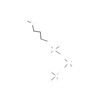 CCCCNC.F[B-](F)(F)F.F[B-](F)(F)F.F[B-](F)(F)F